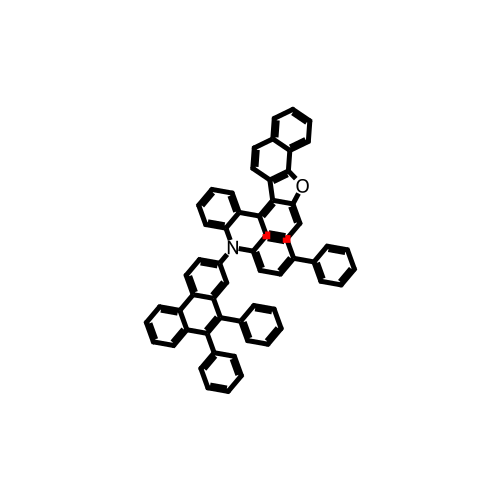 c1ccc(-c2ccc(N(c3ccc4c(c3)c(-c3ccccc3)c(-c3ccccc3)c3ccccc34)c3ccccc3-c3cccc4oc5c6ccccc6ccc5c34)cc2)cc1